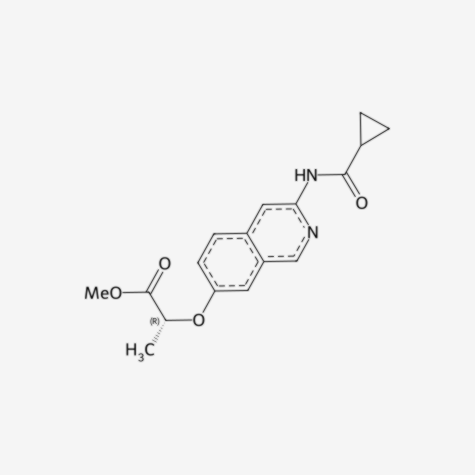 COC(=O)[C@@H](C)Oc1ccc2cc(NC(=O)C3CC3)ncc2c1